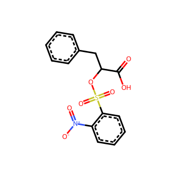 O=C(O)C(Cc1ccccc1)OS(=O)(=O)c1ccccc1[N+](=O)[O-]